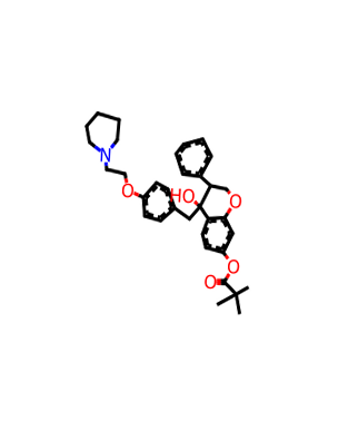 CC(C)(C)C(=O)Oc1ccc2c(c1)OCC(c1ccccc1)C2(O)Cc1ccc(OCCN2CCCCC2)cc1